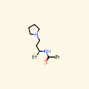 CC[C@@H](CCN1CCCC1)NC(=O)C(C)C